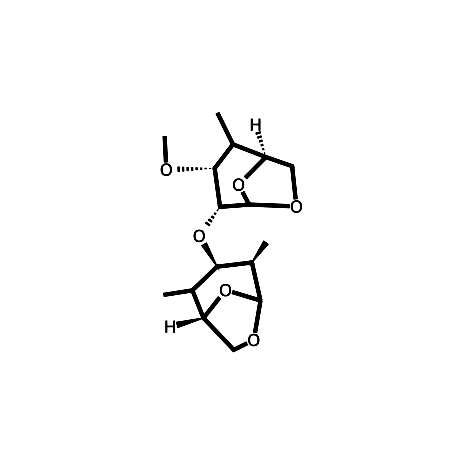 CO[C@@H]1C(C)[C@H]2COC(O2)[C@@H]1O[C@@H]1C(C)[C@H]2COC(O2)[C@@H]1C